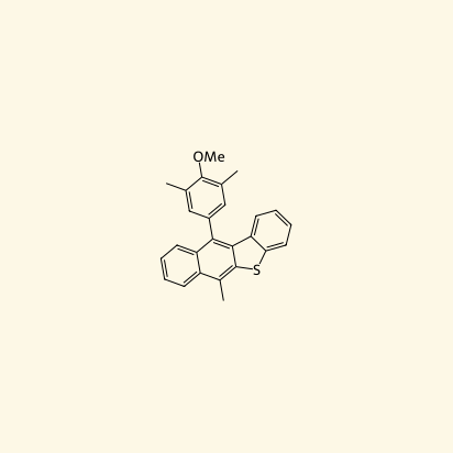 COc1c(C)cc(-c2c3ccccc3c(C)c3sc4ccccc4c23)cc1C